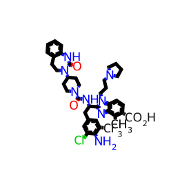 Cc1c(C(=O)O)ccc2c1nc(C(Cc1cc(Cl)c(N)c(C(F)(F)F)c1)NC(=O)N1CCC(N3CCc4ccccc4NC3=O)CC1)n2CCCN1CCCC1